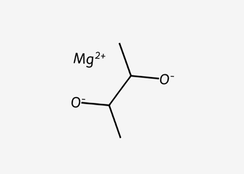 CC([O-])C(C)[O-].[Mg+2]